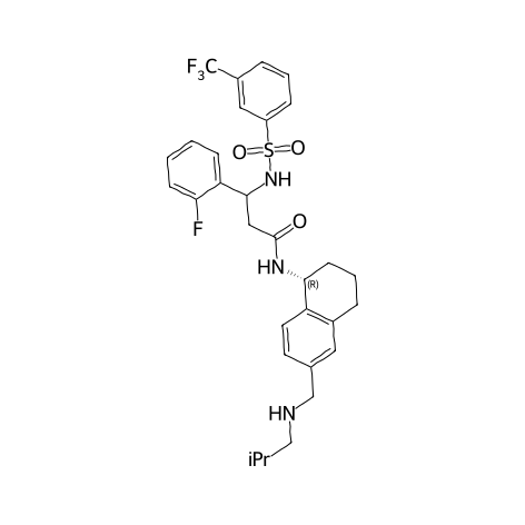 CC(C)CNCc1ccc2c(c1)CCC[C@H]2NC(=O)CC(NS(=O)(=O)c1cccc(C(F)(F)F)c1)c1ccccc1F